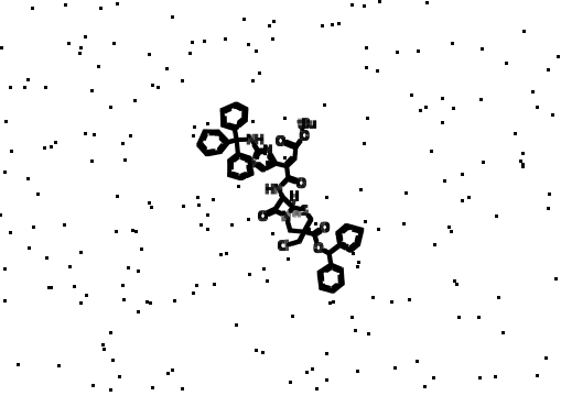 CC(C)(C)OC(=O)C=C(C(=O)NC1C(=O)N2CC(CCl)(C(=O)OC(c3ccccc3)c3ccccc3)CS[C@H]12)c1csc(NC(c2ccccc2)(c2ccccc2)c2ccccc2)n1